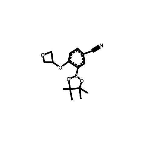 CC1(C)OB(c2cc(C#N)ccc2OC2COC2)OC1(C)C